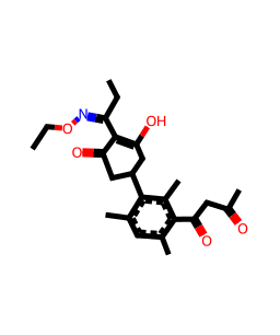 CCO/N=C(/CC)C1=C(O)CC(c2c(C)cc(C)c(C(=O)CC(C)=O)c2C)CC1=O